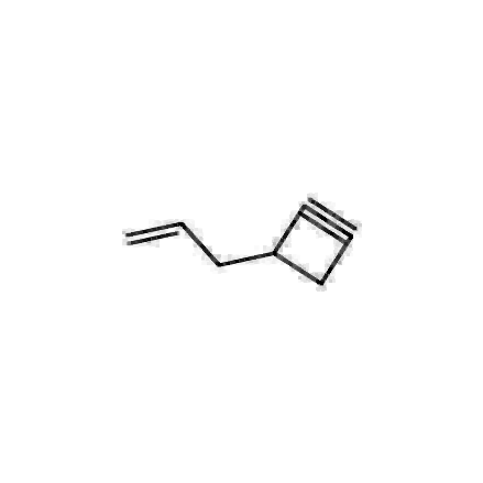 C=CCC1C#CC1